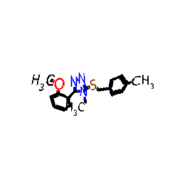 CCn1c(SCc2ccc(C)cc2)nnc1-c1ccccc1OC